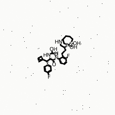 O=C(O)N[C@H](C(=O)Nc1cccc(F)c1CCC1CNC2CCCS(O)(O)N1C2)[C@@H](c1ccc(F)cc1)C12CC(C1)C2